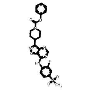 CS(=O)(=O)c1ccc(Nc2ncnc3c(C4CCN(C(=O)Oc5ccccc5)CC4)noc23)c(F)c1